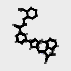 CN1CCCCC1CNC(=O)c1cccc(-c2ccc(/C=C3/C(=O)Nc4cccc(Br)c43)o2)c1